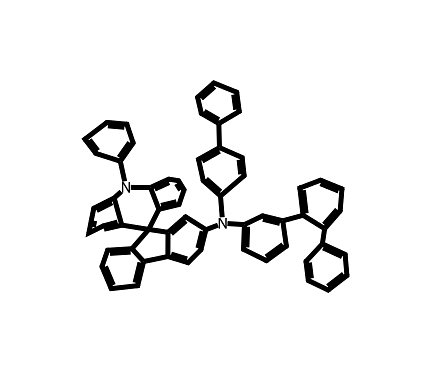 c1ccc(-c2ccc(N(c3cccc(-c4ccccc4-c4ccccc4)c3)c3ccc4c(c3)C3(c5ccccc5-4)c4ccccc4N(c4ccccc4)c4ccccc43)cc2)cc1